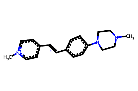 CN1CCN(c2ccc(/C=C/c3cc[n+](C)cc3)cc2)CC1